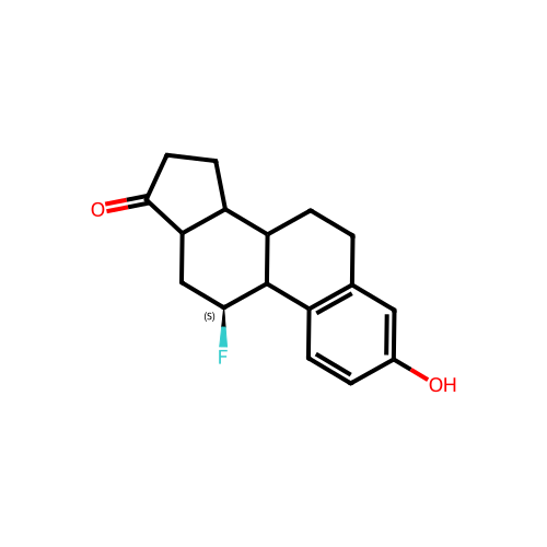 O=C1CCC2C1C[C@H](F)C1c3ccc(O)cc3CCC21